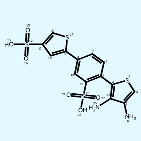 Nc1csc(-c2ccc(-c3cc(S(=O)(=O)O)cs3)cc2S(=O)(=O)O)c1N